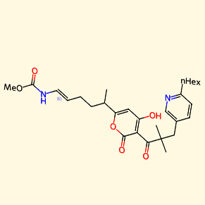 CCCCCCc1ccc(CC(C)(C)C(=O)c2c(O)cc(C(C)CC/C=C/NC(=O)OC)oc2=O)cn1